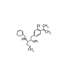 C=CCC(NCC1=CC=CCC1)C(CCC)Cc1ccc(C(=C)C)c(CC)c1